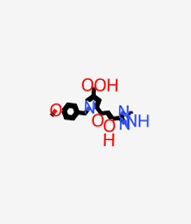 COc1ccc(Cn2cc(C(=O)O)cc2C(=O)C=C(O)c2nc[nH]n2)cc1